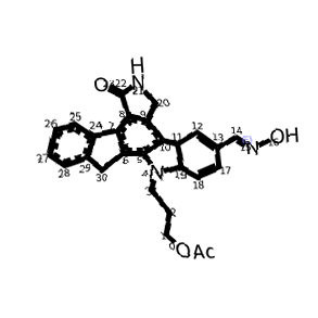 CC(=O)OCCCN1c2c3c(c4c(c2C2C=C(/C=N/O)C=CC21)CNC4=O)-c1ccccc1C3